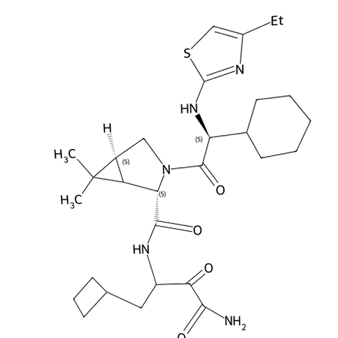 CCc1csc(N[C@H](C(=O)N2C[C@H]3C([C@H]2C(=O)NC(CC2CCC2)C(=O)C(N)=O)C3(C)C)C2CCCCC2)n1